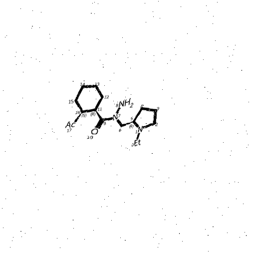 CCN1CCC[C@@H]1CN(N)C(=O)[C@@H]1CCCC[C@@H]1C(C)=O